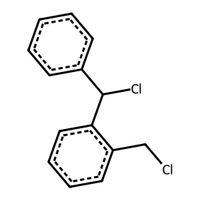 ClCc1ccccc1C(Cl)c1ccccc1